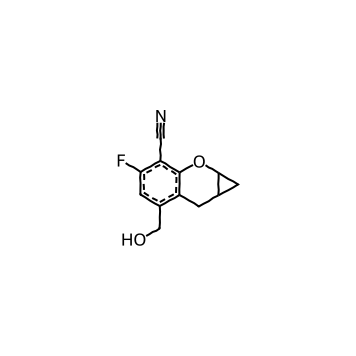 N#Cc1c(F)cc(CO)c2c1OC1CC1C2